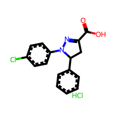 Cl.O=C(O)C1=NN(c2ccc(Cl)cc2)C(c2ccccc2)C1